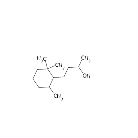 CC(O)CCC1C(C)CCCC1(C)C